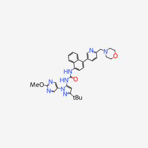 COc1ncc(-n2nc(C(C)(C)C)cc2NC(=O)Nc2ccc(-c3ccc(CN4CCOCC4)nc3)c3ccccc23)cn1